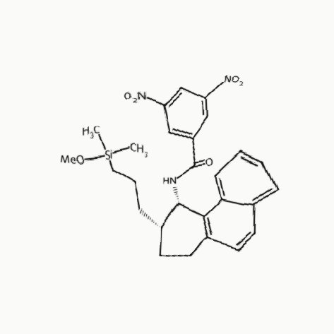 CO[Si](C)(C)CCC[C@H]1CCc2ccc3ccccc3c2[C@H]1NC(=O)c1cc([N+](=O)[O-])cc([N+](=O)[O-])c1